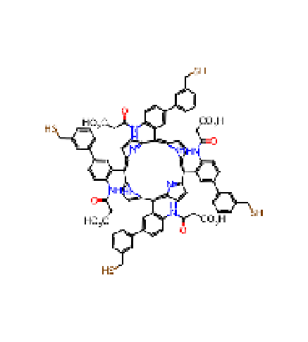 O=C(O)CC(=O)Nc1ccc(-c2cccc(CS)c2)cc1-c1c2nc(c(-c3cc(-c4cccc(CS)c4)ccc3NC(=O)CC(=O)O)c3ccc([nH]3)c(-c3cc(-c4cccc(CS)c4)ccc3NC(=O)CC(=O)O)c3nc(c(-c4cc(-c5cccc(CS)c5)ccc4NC(=O)CC(=O)O)c4ccc1[nH]4)C=C3)C=C2